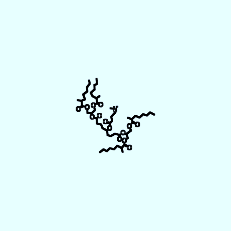 CCCCCCC(C)C(=O)OCC(COC(=O)C(C)CCCCCC)OC(=O)CCCC(CCCC(=O)OC(COC(=O)C(C)CCCCCC)COC(=O)C(C)CCCCCC)OC(=O)CCCN(C)C